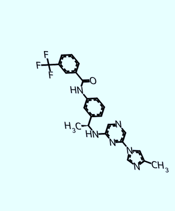 Cc1cn(-c2cncc(N[C@@H](C)c3cccc(NC(=O)c4cccc(C(F)(F)F)c4)c3)n2)cn1